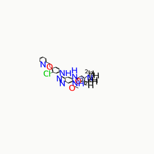 [2H]C([2H])([2H])N(C/C=C/C(=O)Nc1cc2c(Nc3ccc(OCc4ccccn4)c(Cl)c3)ncnc2cc1NC(C)=O)C([2H])([2H])[2H]